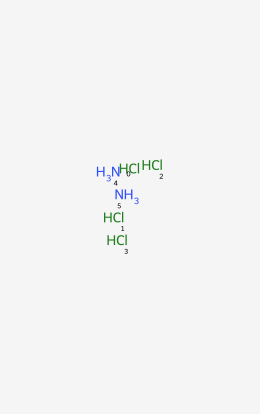 Cl.Cl.Cl.Cl.N.N